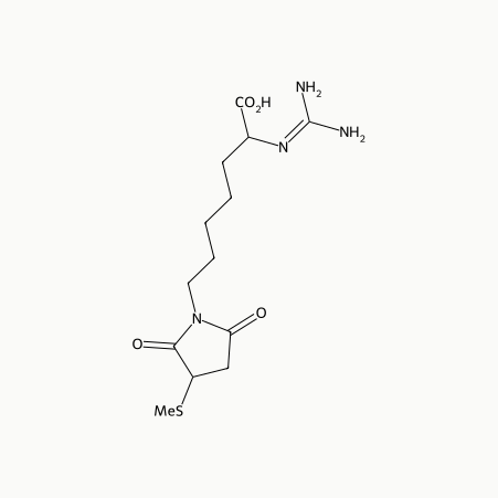 CSC1CC(=O)N(CCCCCC(N=C(N)N)C(=O)O)C1=O